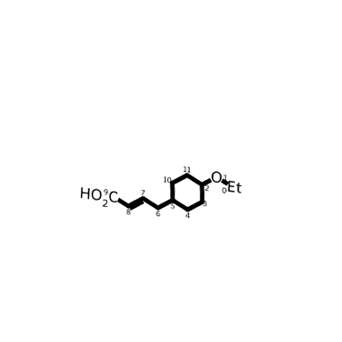 CCOC1CCC(CC=CC(=O)O)CC1